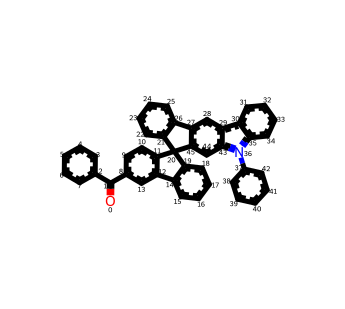 O=C(c1ccccc1)c1ccc2c(c1)-c1ccccc1C21c2ccccc2-c2cc3c4ccccc4n(-c4ccccc4)c3cc21